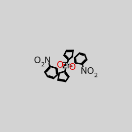 O=[N+]([O-])c1ccccc1[O][Zr]([O]c1ccccc1[N+](=O)[O-])([C]1=CC=CC1)[C]1=CC=CC1